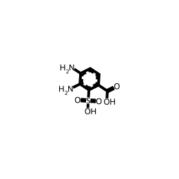 Nc1ccc(C(=O)O)c(S(=O)(=O)O)c1N